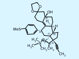 CC#C[C@]1([C@@H](C)O[Si](C)(C)C)CC[C@H]2[C@@H]3CC[C@@]4(O)CC5(CCC4=C3[C@@H](c3ccc(SC)cc3)C[C@@]21C)OCCO5